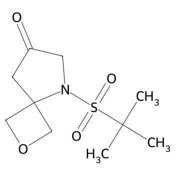 CC(C)(C)S(=O)(=O)N1CC(=O)CC12COC2